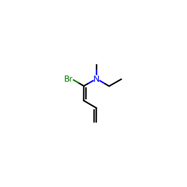 C=C/C=C(/Br)N(C)CC